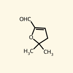 CC1(C)CC=C(C=O)O1